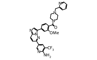 COc1cc(-c2cnc3ccc(-c4cnc(N)c(C(F)(F)F)c4)nn23)ccc1C(=O)N1CCN(Cc2ccccn2)CC1